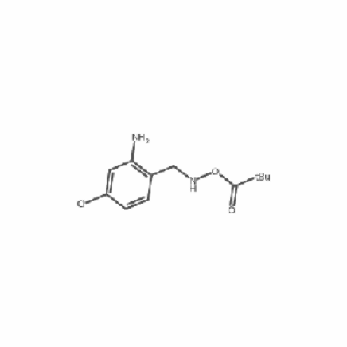 CC(C)(C)C(=O)ONCc1ccc(Cl)cc1N